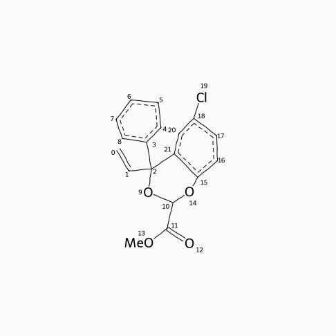 C=CC1(c2ccccc2)OC(C(=O)OC)Oc2ccc(Cl)cc21